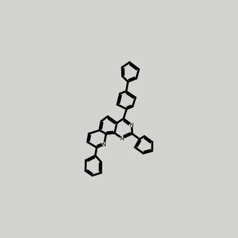 c1ccc(-c2ccc(-c3nc(-c4ccccc4)nc4c3ccc3ccc(-c5ccccc5)nc34)cc2)cc1